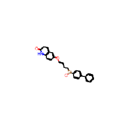 O=C1CCc2cc(OCCCC[S+]([O-])c3ccc(-c4ccccc4)cc3)ccc2N1